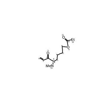 C=CC(=O)N(CCCCOC(=O)CC)NC